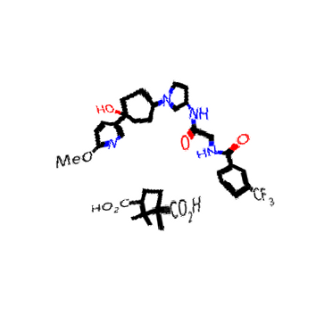 CC1(C(=O)O)CCC(C(=O)O)C1(C)C.COc1ccc(C2(O)CCC(N3CC[C@@H](NC(=O)CNC(=O)c4cccc(C(F)(F)F)c4)C3)CC2)cn1